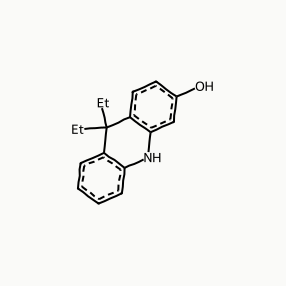 CCC1(CC)c2ccccc2Nc2cc(O)ccc21